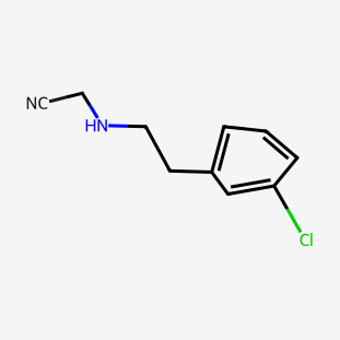 N#CCNCCc1cccc(Cl)c1